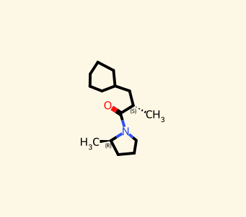 C[C@@H]1CCCN1C(=O)[C@@H](C)CC1CCCCC1